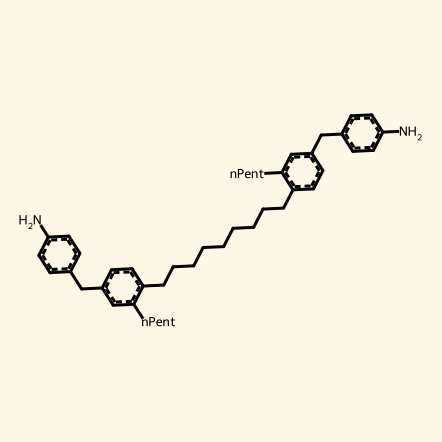 CCCCCc1cc(Cc2ccc(N)cc2)ccc1CCCCCCCCCc1ccc(Cc2ccc(N)cc2)cc1CCCCC